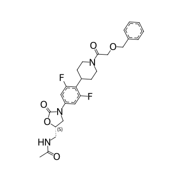 CC(=O)NC[C@H]1CN(c2cc(F)c(C3CCN(C(=O)COCc4ccccc4)CC3)c(F)c2)C(=O)O1